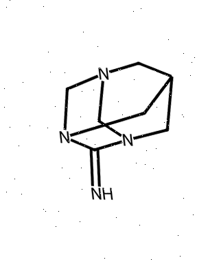 N=C1N2CC3CN(C2)CN1C3